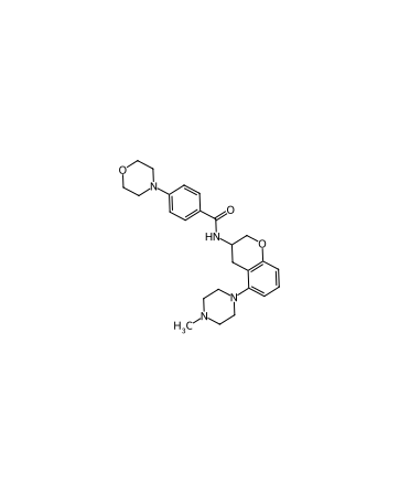 CN1CCN(c2cccc3c2CC(NC(=O)c2ccc(N4CCOCC4)cc2)CO3)CC1